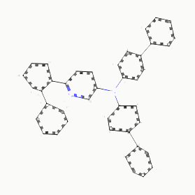 c1ccc(-c2ccc(N(c3ccc(-c4ccccc4)cc3)c3ccc(-c4ccccc4-c4ccccc4)nc3)cc2)cc1